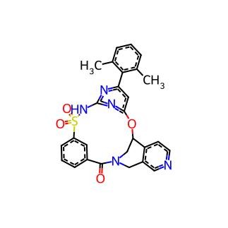 Cc1cccc(C)c1-c1cc2nc(n1)NS(=O)(=O)c1cccc(c1)C(=O)N1Cc3cnccc3C(C1)O2